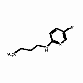 NCCCNc1ccc(Br)cn1